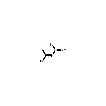 CCCN(CC)/N=C(\C)C(C)C